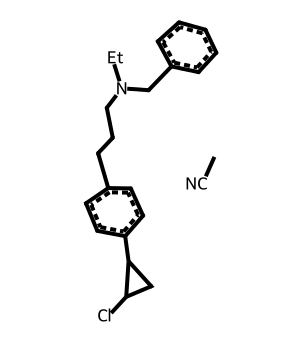 CC#N.CCN(CCCc1ccc(C2CC2Cl)cc1)Cc1ccccc1